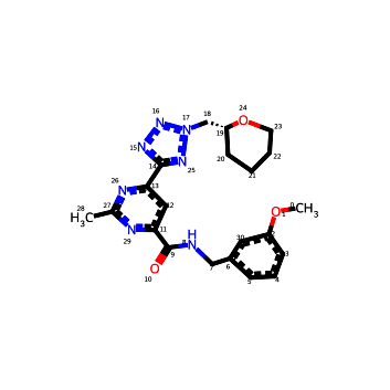 COc1cccc(CNC(=O)c2cc(-c3nnn(C[C@H]4CCCCO4)n3)nc(C)n2)c1